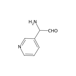 NC(C=O)c1cccnc1